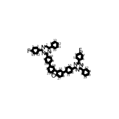 Fc1ccc(C2=NCC(c3ccccc3)=NC(c3ccc(-c4ccc5oc6ccc(-c7ccc(-c8nc(-c9ccccc9)nc(-c9ccc(F)cc9)n8)cc7)cc6c5c4)cc3)=N2)cc1